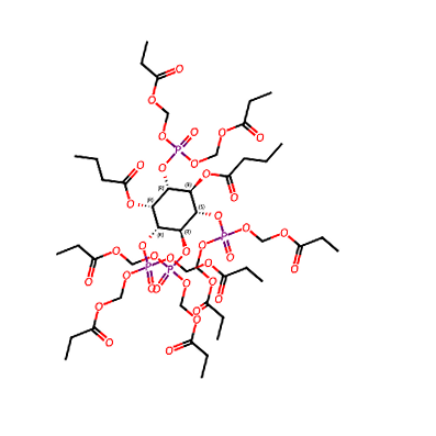 CCCC(=O)O[C@@H]1[C@H](OP(=O)(OCOC(=O)CC)OCOC(=O)CC)[C@@H](OC(=O)CCC)[C@H](OP(=O)(OCOC(=O)CC)OCOC(=O)CC)[C@@H](OP(=O)(OCOC(=O)CC)OCOC(=O)CC)[C@@H]1OP(=O)(OCOC(=O)CC)OCOC(=O)CC